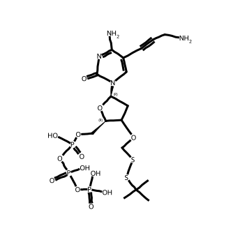 CC(C)(C)SSCOC1C[C@H](n2cc(C#CCN)c(N)nc2=O)O[C@@H]1COP(=O)(O)OP(=O)(O)OP(=O)(O)O